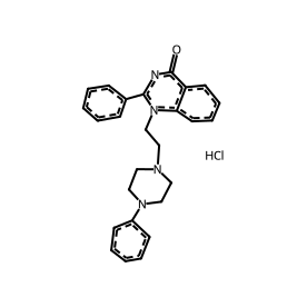 Cl.O=c1nc(-c2ccccc2)n(CCN2CCN(c3ccccc3)CC2)c2ccccc12